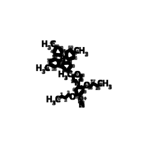 CCCCOc1cc(N2CCOCC2)c(OCCCC)cc1[N+]#N.Cc1ccc([B-](c2ccc(C)cc2)(c2ccc(C)cc2)c2ccc(C)cc2)cc1